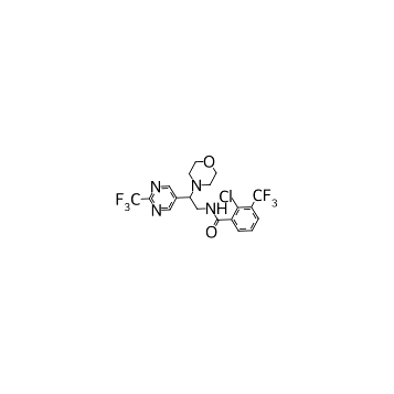 O=C(NCC(c1cnc(C(F)(F)F)nc1)N1CCOCC1)c1cccc(C(F)(F)F)c1Cl